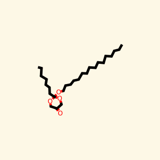 CCCCCCCCCCCCCCCCOC1(CCCCCCC)OCC(=O)CO1